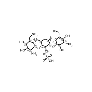 NC[C@H]1O[C@H](O[C@H]2[C@H](O)[C@@H](O[C@H]3O[C@H](CO)[C@@H](O)[C@H](N)[C@H]3O)[C@H](N)C[C@@H]2N)[C@H](N)[C@@H](O)[C@@H]1O.O=S(=O)(O)O